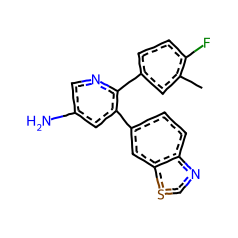 Cc1cc(-c2ncc(N)cc2-c2ccc3ncsc3c2)ccc1F